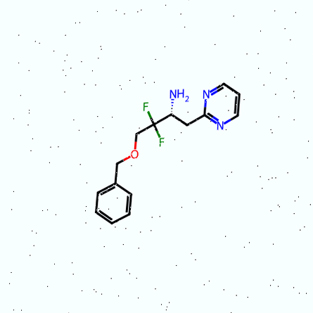 N[C@H](Cc1ncccn1)C(F)(F)COCc1ccccc1